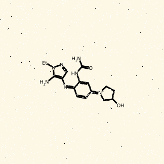 CCn1ncc(N=C2C=CC(=[N+]3CCC(O)C3)C=C2NC(N)=O)c1N